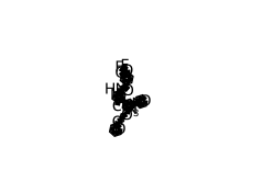 Cc1cnc(NC(=O)c2ccc3c(c2)OC(F)(F)O3)cc1-c1cc(OCCOC2CCCCO2)nc(N2CCOCC2)c1